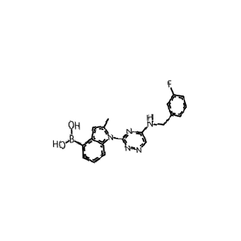 Cc1cc2c(B(O)O)cccc2n1-c1nncc(NCc2cccc(F)c2)n1